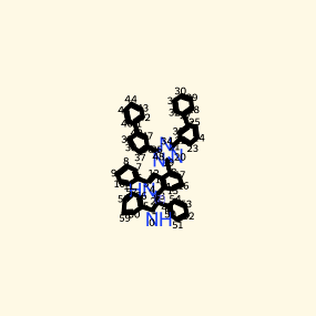 N=C(/C(=C1\NC(c2ccccc2)=Cc2c1cccc2-c1nc(-c2cccc(-c3ccccc3)c2)nc(-c2cccc(-c3ccccc3)c2)n1)c1ccccc1)c1ccccc1